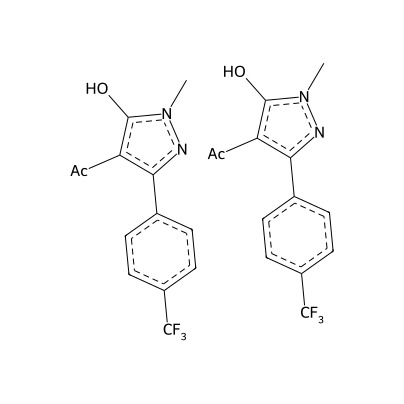 CC(=O)c1c(-c2ccc(C(F)(F)F)cc2)nn(C)c1O.CC(=O)c1c(-c2ccc(C(F)(F)F)cc2)nn(C)c1O